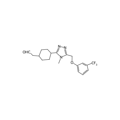 Cn1c(COc2cccc(C(F)(F)F)c2)nnc1C1CCC(CC=O)CC1